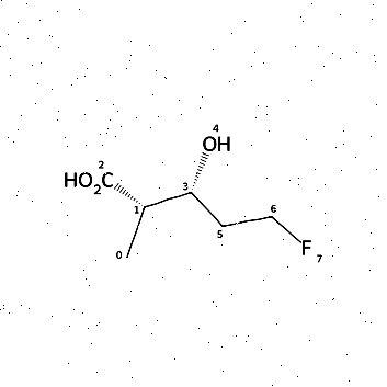 C[C@H](C(=O)O)[C@H](O)CCF